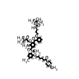 Cc1ccc(N(C)C(=O)c2ccc(C(=O)c3ccccc3OCCCNC(=O)OC(C)(C)C)c(OCC(=O)N(C)C)c2N)c(OCCCCCC(=O)N2CCN(C)CC2)c1